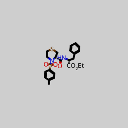 CCOC(=O)[C@H](Cc1ccccc1)NC(=O)[C@@H]1CSCCN1S(=O)(=O)c1ccc(C)cc1